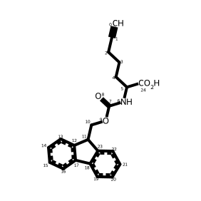 C#CCCCC(NC(=O)OCC1c2ccccc2-c2ccccc21)C(=O)O